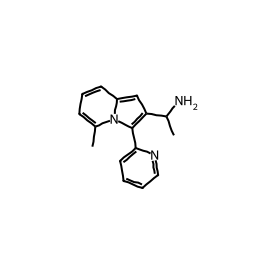 Cc1cccc2cc(C(C)N)c(-c3ccccn3)n12